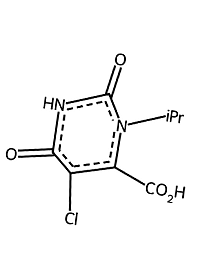 CC(C)n1c(C(=O)O)c(Cl)c(=O)[nH]c1=O